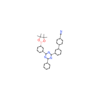 CC1(C)OB(c2cccc(-c3nc(-c4ccccc4)nc(-c4cccc(-c5ccc(C#N)cc5)c4)n3)c2)OC1(C)C